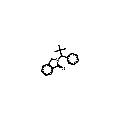 CC(C)(C)C(c1ccccc1)N1Cc2ccccc2C1=O